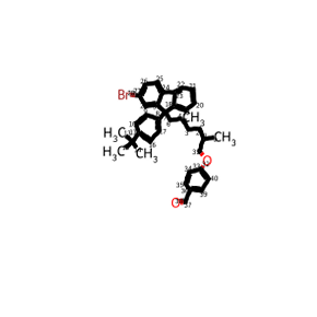 CC(CCC(C)CC1(c2ccc(C(C)(C)C)cc2)c2ccccc2-c2ccc(Br)cc21)COc1ccc(C=O)cc1